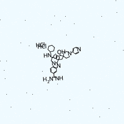 Cl.Cl.N=C(N)c1ccc2c(c1)nc(CCC1(C(=O)O)CCN(c3ccncc3)CC1)n2CC(=O)NC1CCCCC1